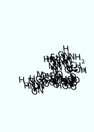 CCNc1ncnc2c1ncn2[C@@H]1O[C@H](COP(=O)(O)OP(=O)(O)OP(=O)(O)OC[C@H]2O[C@@H](n3c[n+](C)c4c(=O)[nH]c(N)nc43)C(C)C2CO)C(OP(=O)(O)OC[C@H]2O[C@@H](n3cnc4c(=O)[nH]c(N)nc43)C(O)C2O)C1OC